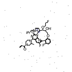 C=CC(=O)N1CCN(c2nc(=O)n3c4nc(c(F)cc24)-c2c(F)cccc2OCC(O)C(OCCF)C(/C=C\NCC(C)C)=C\3)[C@@H](C)C1